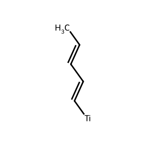 CC=CC=[CH][Ti]